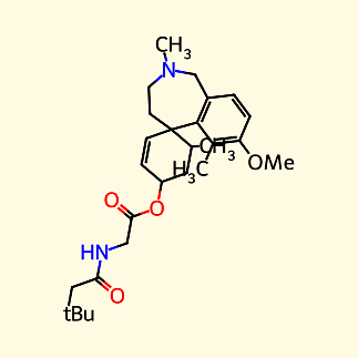 COc1ccc2c(c1C)C1(C=CC(OC(=O)CNC(=O)CC(C)(C)C)CC1C)CCN(C)C2